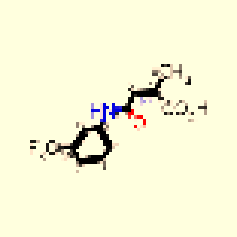 C/C(=C/C(=O)Nc1cccc(C(F)(F)F)c1)C(=O)O